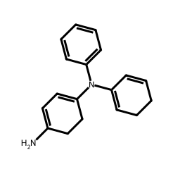 NC1=CC=C(N(C2=CCCC=C2)c2ccccc2)CC1